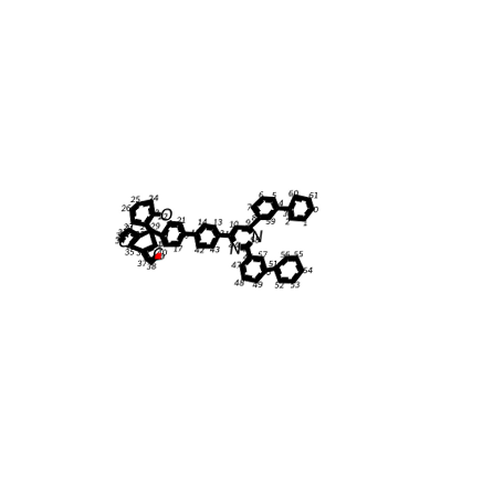 c1ccc(-c2cccc(-c3cc(-c4ccc(-c5ccc6c(c5)Oc5ccccc5C65c6ccccc6-c6ccccc65)cc4)nc(-c4cccc(-c5ccccc5)c4)n3)c2)cc1